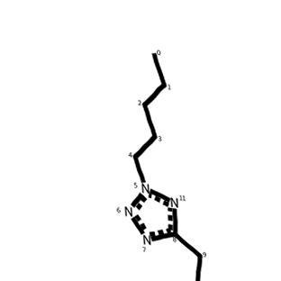 CCCCCn1nnc(CC)n1